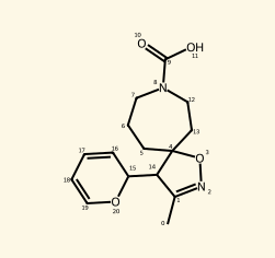 CC1=NOC2(CCCN(C(=O)O)CC2)C1C1C=CC=CO1